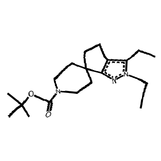 CCc1c2c(nn1CC)C1(CC2)CCN(C(=O)OC(C)(C)C)CC1